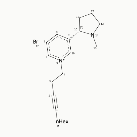 CCCCCCC#CCC[n+]1cccc([C@@H]2CCCN2C)c1.[Br-]